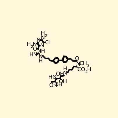 CN(C(=O)CCc1ccc(-c2ccc(CCCCNC(=N)NC(=O)c3nc(Cl)c(N)nc3N)cc2)cc1)[C@@H](CCCCNC[C@H](O)[C@@H](O)[C@H](O)[C@H](O)CO)C(=O)O